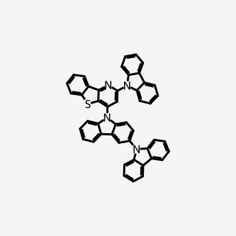 c1ccc2c(c1)sc1c(-n3c4ccccc4c4cc(-n5c6ccccc6c6ccccc65)ccc43)cc(-n3c4ccccc4c4ccccc43)nc12